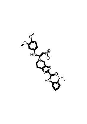 COc1ccc(NC(=C[N+](=O)[O-])N2CCc3nc(C(=O)Nc4ccccc4N)sc3C2)cc1OC